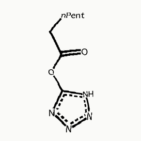 CCCCCCC(=O)Oc1nnn[nH]1